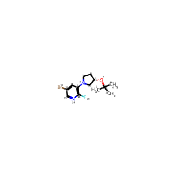 CC(C)(C)O[C@H]1CCN(c2cc(Br)cnc2F)C1